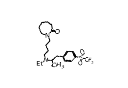 CCN(CCCCN1CCCCCC1=O)C(C)Cc1ccc(S(=O)(=O)C(F)(F)F)cc1